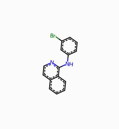 Brc1cccc(Nc2nccc3ccccc23)c1